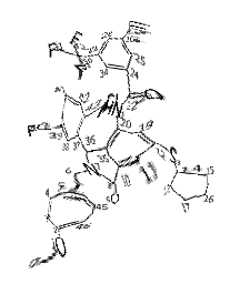 COc1ccc(CN2C(=O)c3cc(SC4CCCC4)cc(NC(=O)c4cc(F)cc(C(F)(F)F)c4)c3C2c2cc(F)ccc2Cl)cc1